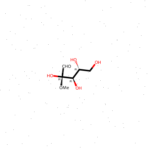 CO[C@@](O)(C=O)[C@H](O)[C@H](O)CO